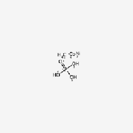 C.O=P(O)(O)O.[Co].[Ni]